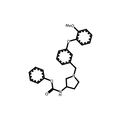 COc1ccccc1Oc1cccc(CN2CCC(NC(=O)Oc3ccccc3)C2)c1